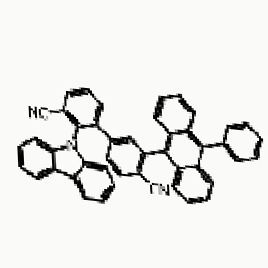 N#Cc1ccc(-c2cccc(C#N)c2-n2c3ccccc3c3ccccc32)cc1-c1c2ccccc2c(-c2ccccc2)c2ccccc12